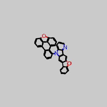 c1ccc2c(c1)oc1cc3c4ncccc4n(-c4cccc5c6cccc7oc8cccc(c45)c8c76)c3cc12